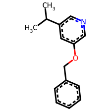 CC(C)c1cncc(OCc2ccccc2)c1